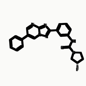 O=C(Nc1cccc(-c2nc3ncc(-c4ccccc4)cn3n2)c1)N1CC[C@H](F)C1